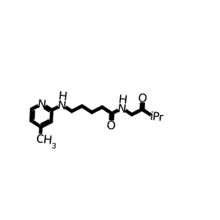 Cc1ccnc(NCCCCC(=O)NCC(=O)C(C)C)c1